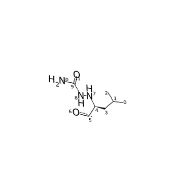 CC(C)C[C@@H]([C]=O)NNC(N)=O